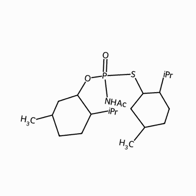 CC(=O)NP(=O)(OC1CC(C)CCC1C(C)C)SC1CC(C)CCC1C(C)C